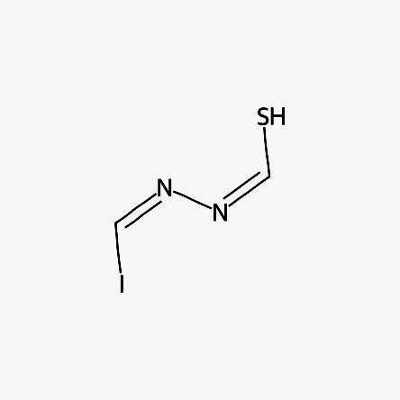 S/C=N\N=C/I